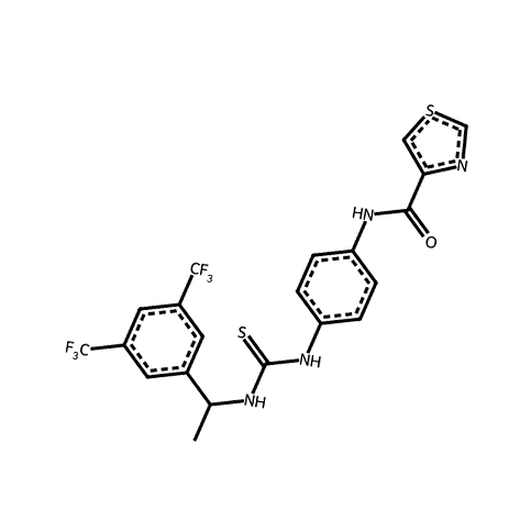 CC(NC(=S)Nc1ccc(NC(=O)c2cscn2)cc1)c1cc(C(F)(F)F)cc(C(F)(F)F)c1